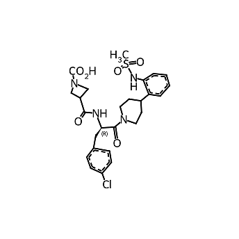 CS(=O)(=O)Nc1ccccc1C1CCN(C(=O)[C@@H](Cc2ccc(Cl)cc2)NC(=O)C2CN(C(=O)O)C2)CC1